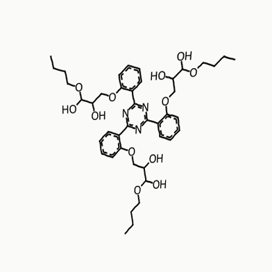 CCCCOC(O)C(O)COc1ccccc1-c1nc(-c2ccccc2OCC(O)C(O)OCCCC)nc(-c2ccccc2OCC(O)C(O)OCCCC)n1